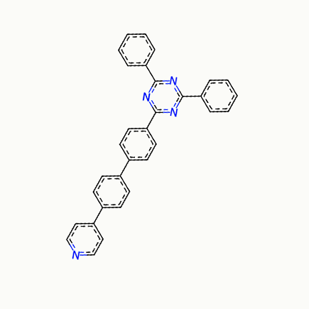 c1ccc(-c2nc(-c3ccccc3)nc(-c3ccc(-c4ccc(-c5ccncc5)cc4)cc3)n2)cc1